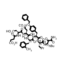 CCCC[C@H](NC(=O)[C@H](CC(C)C)NC(=O)[C@H](Cc1ccc(OCc2ccccc2)cc1)NC(=O)[C@H](Cc1ccccc1C)NC(=O)[C@H](CCC(=O)O)NC(=O)[C@H](CC(=O)O)NC(=O)CCC(=O)O)C(=O)C(N)=O